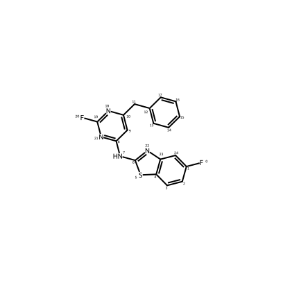 Fc1ccc2sc(Nc3cc(Cc4ccccc4)nc(F)n3)nc2c1